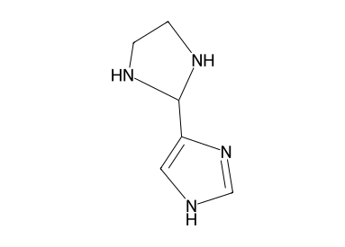 c1nc(C2NCCN2)c[nH]1